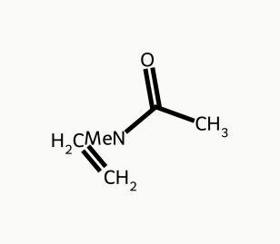 C=C.CNC(C)=O